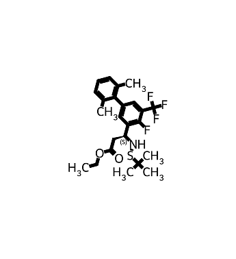 CCOC(=O)C[C@H](NSC(C)(C)C)c1cc(-c2c(C)cccc2C)cc(C(F)(F)F)c1F